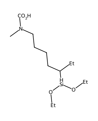 CCO[SiH](OCC)C(CC)CCCCN(C)C(=O)O